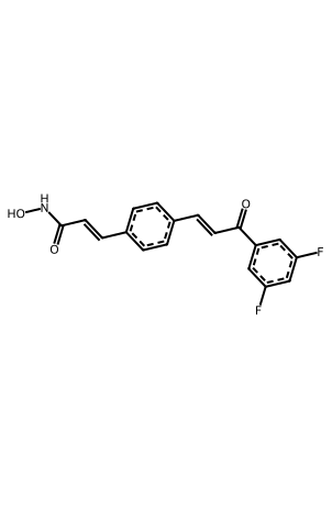 O=C(/C=C/c1ccc(/C=C/C(=O)c2cc(F)cc(F)c2)cc1)NO